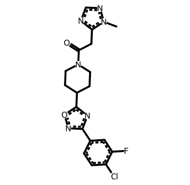 Cn1ncnc1CC(=O)N1CCC(c2nc(-c3ccc(Cl)c(F)c3)no2)CC1